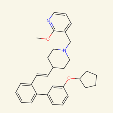 COc1ncccc1CN1CCC(C=Cc2ccccc2-c2cccc(OC3CCCC3)c2)CC1